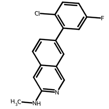 CNc1cc2ccc(-c3cc(F)ccc3Cl)cc2cn1